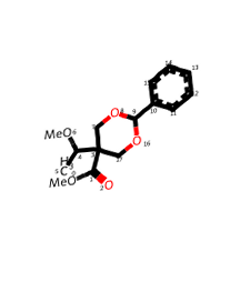 COC(=O)C1(C(C)OC)COC(c2ccccc2)OC1